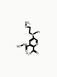 CC(C)N(CCO[N+](=O)[O-])c1cnc(C(N)=O)c(C(=O)NC#N)c1